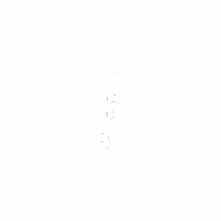 CCCCC[SiH]1CCC(c2ccc(-c3ccc(CCc4cc(F)c(C#N)c(F)c4)cc3)c(F)c2)CC1